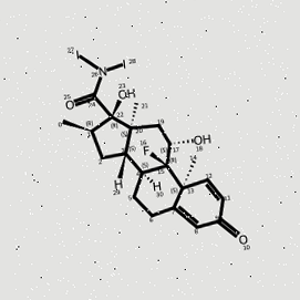 C[C@@H]1C[C@H]2[C@@H]3CCC4=CC(=O)C=C[C@]4(C)[C@@]3(F)[C@@H](O)C[C@]2(C)[C@@]1(O)C(=O)N(I)I